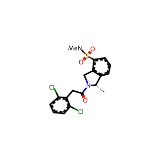 CNS(=O)(=O)c1cccc2c1CN(C(=O)Cc1c(Cl)cccc1Cl)[C@H]2C